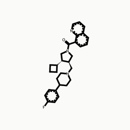 O=C(c1cccc2cccnc12)N1C[C@@H](CN2CCC(c3ccc(F)cc3)CC2)[C@H](C2CCC2)C1